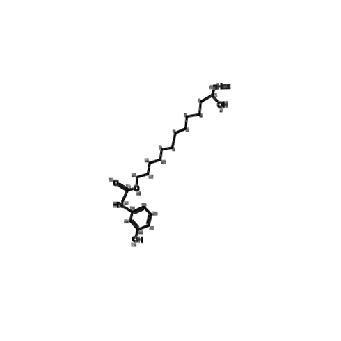 CCCCCCC(O)CCCCCCCCCCCOC(=O)Nc1cccc(O)c1